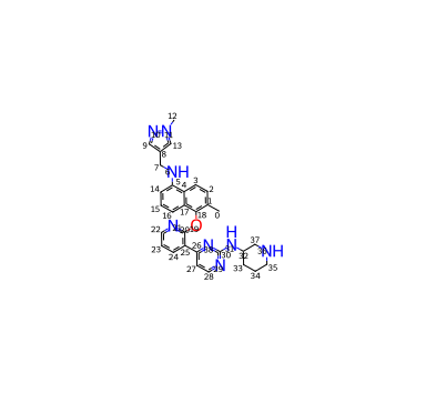 Cc1ccc2c(NCc3cnn(C)c3)cccc2c1Oc1ncccc1-c1ccnc(NC2CCCNC2)n1